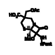 CCCCCNC1(OC)C(=O)N2CC(COC(C)=O)(C(=O)O)CS[C@@H]21